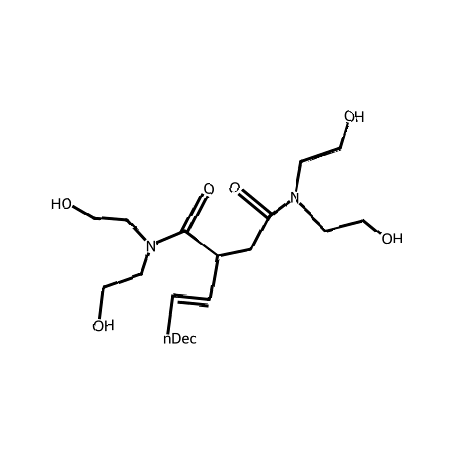 CCCCCCCCCCC=CC(CC(=O)N(CCO)CCO)C(=O)N(CCO)CCO